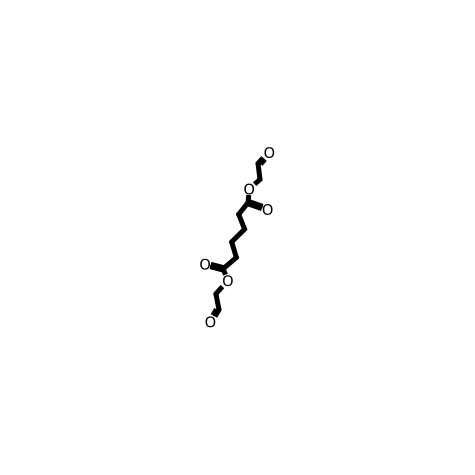 O=CCOC(=O)CCCCC(=O)OCC=O